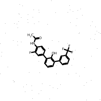 CC(=O)Nc1ccc(-c2cccc(-c3cccc(C(F)(F)F)c3)c2O)cc1F